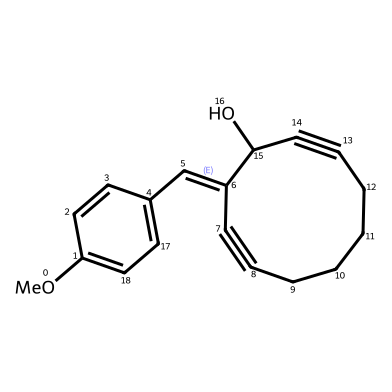 COc1ccc(/C=C2\C#CCCCCC#CC2O)cc1